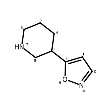 c1cc(C2CCCNC2)on1